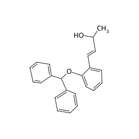 CC(O)C=Cc1ccccc1OC(c1ccccc1)c1ccccc1